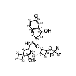 O=C(NCCC1(c2nc([C@H]3C[C@@H](OC(F)(F)F)C3)no2)CCC1)[C@H]1C[C@@H](O)c2cc(Cl)ccc2O1